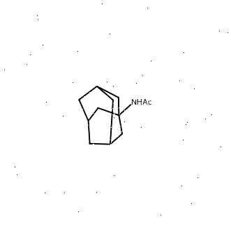 [CH2]C(=O)NC12CC3CC(CC(C3)C1)C2